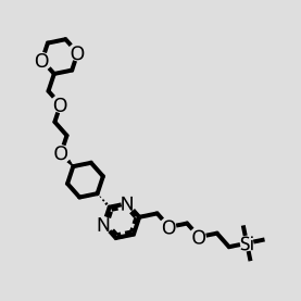 C[Si](C)(C)CCOCOCc1ccnc([C@H]2CC[C@H](OCCOCC3COCCO3)CC2)n1